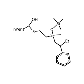 CCCCCC(O)SCC[Si](C)(CC(CC)c1ccccc1)O[Si](C)(C)C